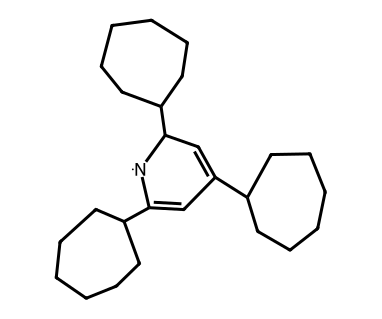 C1=C(C2CCCCCC2)C=C(C2CCCCCC2)[N]C1C1CCCCCC1